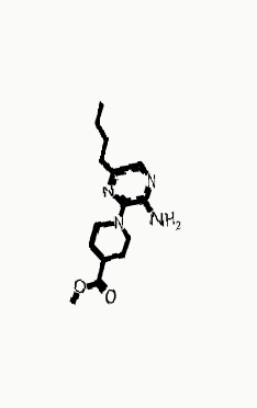 CCCCc1cnc(N)c(N2CCC(C(=O)OC)CC2)n1